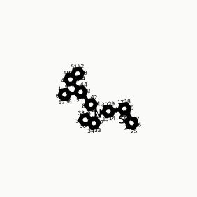 c1ccc(-c2cc(-c3ccc(N(c4ccc(-c5cccc6c5sc5ccccc56)cc4)c4cccc5ccccc45)cc3)ccc2-c2cccc3ccccc23)cc1